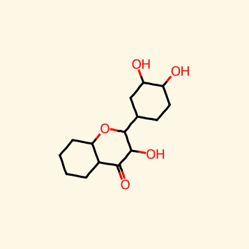 O=C1C(O)C(C2CCC(O)C(O)C2)OC2CCCCC12